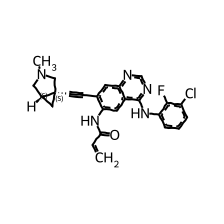 C=CC(=O)Nc1cc2c(Nc3cccc(Cl)c3F)ncnc2cc1C#C[C@]12C[C@@H]1CN(C)C2